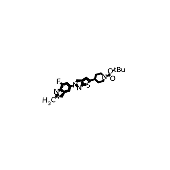 Cn1cc2cc(-n3cc4cc(C5CCN(C(=O)OC(C)(C)C)CC5)sc4n3)cc(F)c2n1